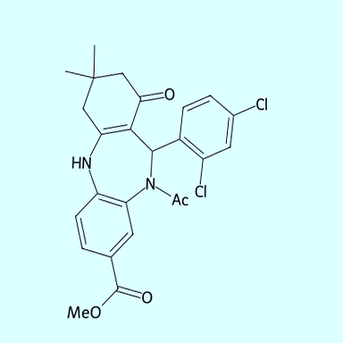 COC(=O)c1ccc2c(c1)N(C(C)=O)C(c1ccc(Cl)cc1Cl)C1=C(CC(C)(C)CC1=O)N2